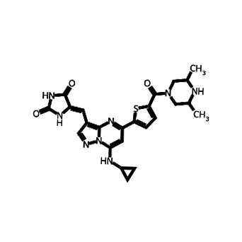 CC1CN(C(=O)c2ccc(-c3cc(NC4CC4)n4ncc(/C=C5\NC(=O)NC5=O)c4n3)s2)CC(C)N1